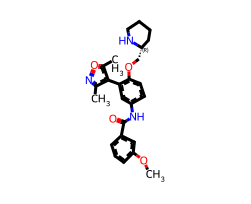 COc1cccc(C(=O)Nc2ccc(OC[C@H]3CCCCN3)c(-c3c(C)noc3C)c2)c1